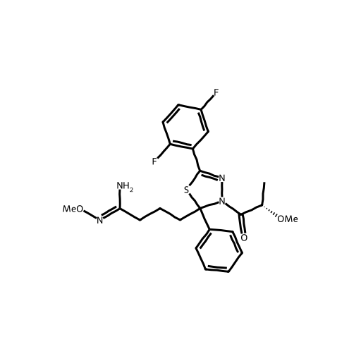 CO/N=C(\N)CCCC1(c2ccccc2)SC(c2cc(F)ccc2F)=NN1C(=O)[C@H](C)OC